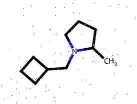 CC1CCCN1CC1CCC1